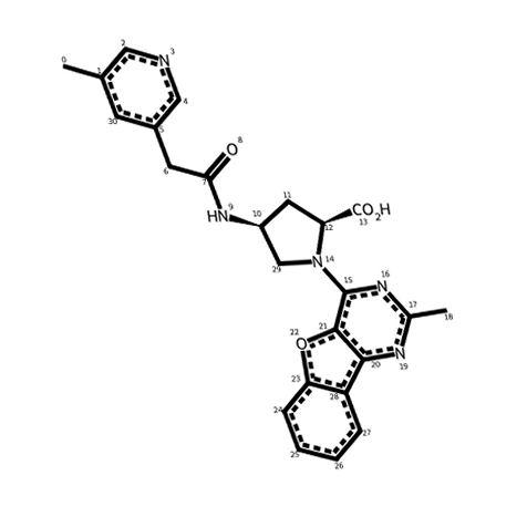 Cc1cncc(CC(=O)N[C@H]2C[C@@H](C(=O)O)N(c3nc(C)nc4c3oc3ccccc34)C2)c1